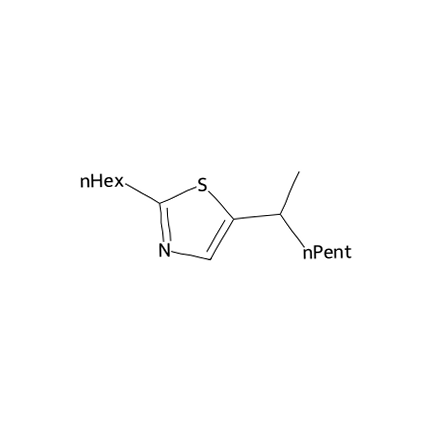 CCCCCCc1ncc(C(C)CCCCC)s1